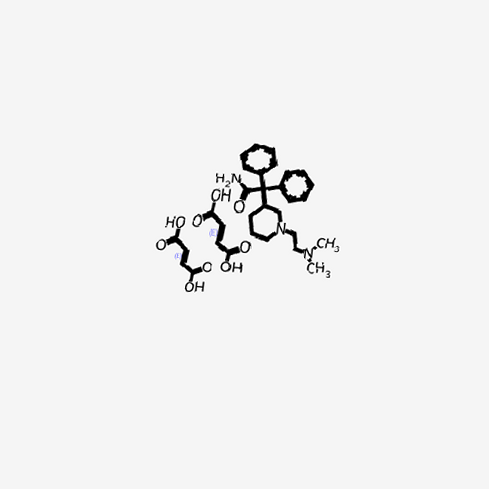 CN(C)CCN1CCCC(C(C(N)=O)(c2ccccc2)c2ccccc2)C1.O=C(O)/C=C/C(=O)O.O=C(O)/C=C/C(=O)O